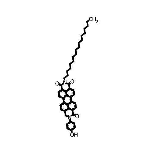 CCCCCCCCCCCCCCCCCCN1C(=O)c2ccc3c4ccc5c6c(ccc(c7ccc(c2c37)C1=O)c64)C(=O)N(c1ccc(O)cc1)C5